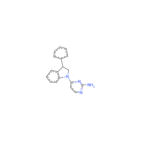 Nc1nccc(N2CC(c3ccccc3)c3ccccc32)n1